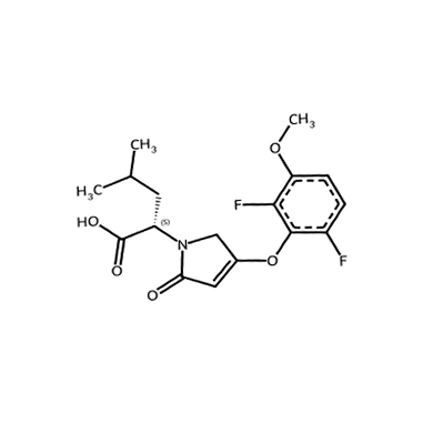 COc1ccc(F)c(OC2=CC(=O)N([C@@H](CC(C)C)C(=O)O)C2)c1F